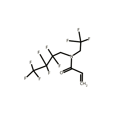 C=CC(=O)N(CC(F)(F)F)CC(F)(F)C(F)(F)C(F)(F)F